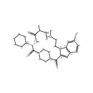 CNC(C)C(=O)N[C@H](C(=O)N1CCN(C(=O)c2cc3ccc(F)cc3n2CCOC)CC1)C1CCCCC1